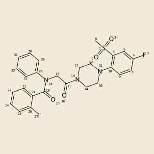 CS(=O)(=O)c1cc(F)ccc1N1CCN(C(=O)CN(C(=O)c2ccccc2F)c2ccccc2)CC1